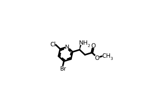 COC(=O)C[C@H](N)c1cc(Br)cc(Cl)n1